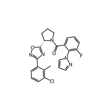 Cc1c(Cl)cccc1-c1noc([C@@H]2CCCN2C(=O)c2cccc(F)c2-n2cccn2)n1